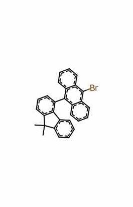 CC1(C)c2ccccc2-c2c(-c3c4ccccc4c(Br)c4ccccc34)cccc21